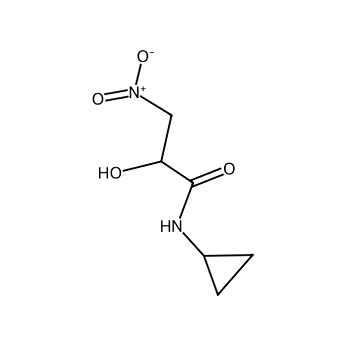 O=C(NC1CC1)C(O)C[N+](=O)[O-]